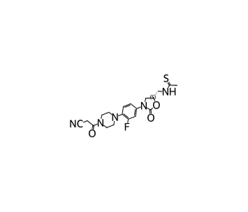 CC(=S)NC[C@H]1CN(c2ccc(N3CCN(C(=O)CC#N)CC3)c(F)c2)C(=O)O1